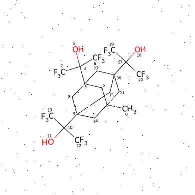 CC12CC3(C(O)(C(F)(F)F)C(F)(F)F)CC(C(O)(C(F)(F)F)C(F)(F)F)(C1)CC(C(O)(C(F)(F)F)C(F)(F)F)(C2)C3